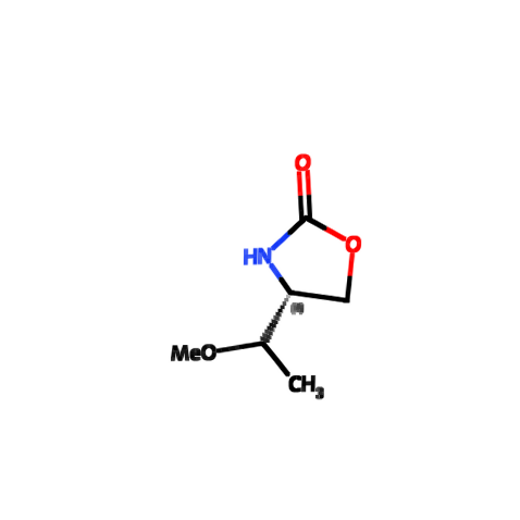 COC(C)[C@H]1COC(=O)N1